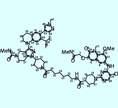 CNC(=O)COc1cc2cc(Nc3nc(N4CCC(C(=O)NCCCCCCC(=O)N5CCC(n6nc(N7CCCc8cc(-c9cnn(C)c9)c(C(F)F)cc87)c7c6CCN(C(=O)NC)C7)CC5)CC4)ncc3Cl)cc(OC)c2n(C)c1=O